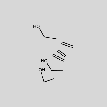 C=C.C=C.C=C.CCO.CCO.CCO